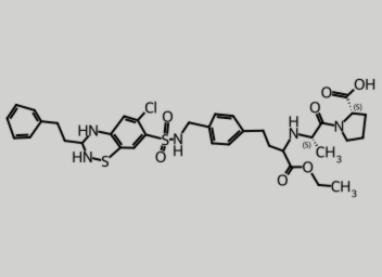 CCOC(=O)C(CCc1ccc(CNS(=O)(=O)c2cc3c(cc2Cl)NC(CCc2ccccc2)NS3)cc1)N[C@@H](C)C(=O)N1CCC[C@H]1C(=O)O